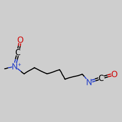 C[N+](=C=O)CCCCCCN=C=O